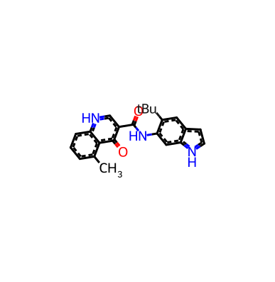 Cc1cccc2[nH]cc(C(=O)Nc3cc4[nH]ccc4cc3C(C)(C)C)c(=O)c12